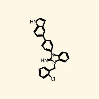 N=c1n(Cc2ccccc2Cl)c2ccccc2n1-c1ccc(-c2ccc3[nH]ccc3c2)cc1